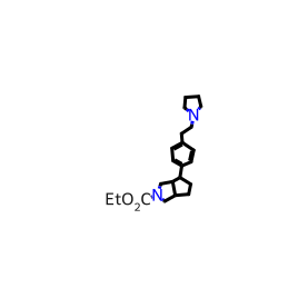 CCOC(=O)N1CC2CCC(c3ccc(CCN4CCCC4)cc3)C2C1